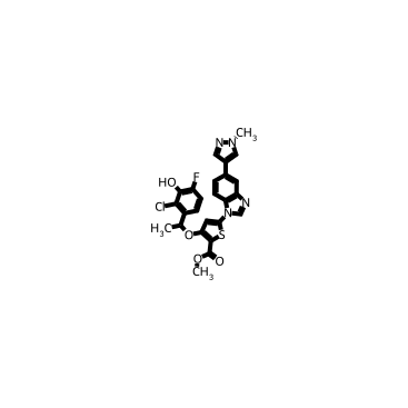 COC(=O)c1sc(-n2cnc3cc(-c4cnn(C)c4)ccc32)cc1OC(C)c1ccc(F)c(O)c1Cl